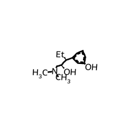 CC[C@@H](c1cccc(O)c1)[C@@H](O)CN(C)C